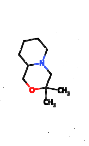 CC1(C)CN2CCCCC2CO1